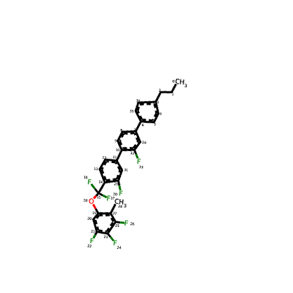 CCCc1ccc(-c2ccc(-c3ccc(C(F)(F)Oc4cc(F)c(F)c(F)c4C)c(F)c3)c(F)c2)cc1